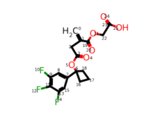 C=C(CC(=O)OC1(c2cc(F)c(F)c(F)c2)CCC1)C(=O)OCC(=O)O